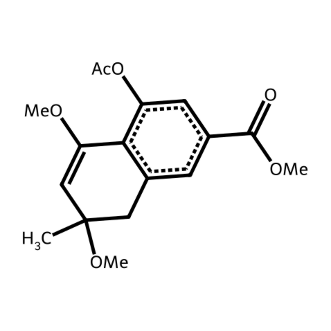 COC(=O)c1cc2c(c(OC(C)=O)c1)C(OC)=CC(C)(OC)C2